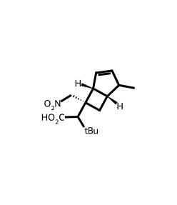 CC1C=C[C@@H]2[C@H]1C[C@@]2(C[N+](=O)[O-])C(C(=O)O)C(C)(C)C